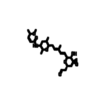 COC(C)/C=C\C(=O)NC1CC(C)C(C/C=C(C)/C=C/C2O[C@H](CC=O)CC3(CO3)[C@@H]2O)OC1C